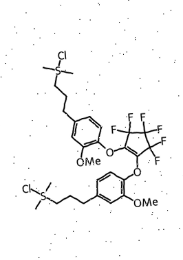 COc1cc(CCCS(C)(C)Cl)ccc1OC1=C(Oc2ccc(CCCS(C)(C)Cl)cc2OC)C(F)(F)C(F)(F)C1(F)F